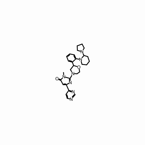 Cn1c(N2CCOC(c3ccccc3N3CCCCC3N3CCCC3)C2)nc(-c2ccncn2)cc1=O